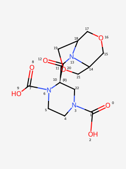 O=C(O)N1CCN(C(=O)O)[C@@H](C(=O)N2C3COCC2COC3)C1